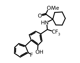 COC(=O)C1(NC(c2ccc(-c3ccccc3F)c(O)c2)C(F)(F)F)CCCCC1